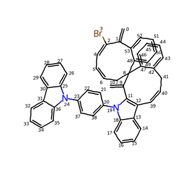 C=C1/C(Br)=C\C=C/CC2(C(=C)c3c(c4ccccc4n3-c3ccc(-n4c5ccccc5c5ccccc54)cc3)/C=C\Cc3ccccc32)c2ccccc21